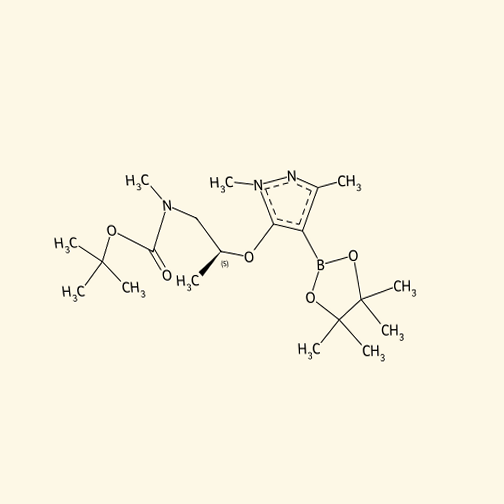 Cc1nn(C)c(O[C@@H](C)CN(C)C(=O)OC(C)(C)C)c1B1OC(C)(C)C(C)(C)O1